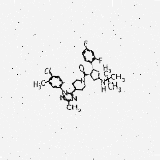 Cc1nc(C2CCN(C(=O)[C@@H]3CC(NC(C)(C)C)C[C@H]3c3ccc(F)cc3F)CC2)n(-c2ccc(Cl)c(C)c2)n1